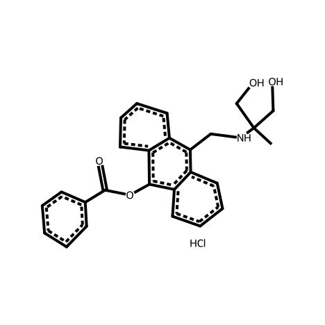 CC(CO)(CO)NCc1c2ccccc2c(OC(=O)c2ccccc2)c2ccccc12.Cl